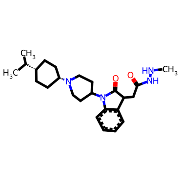 CNNC(=O)CC1C(=O)N(C2CCN([C@H]3CC[C@@H](C(C)C)CC3)CC2)c2ccccc21